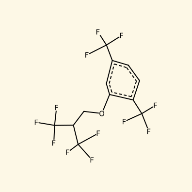 FC(F)(F)c1ccc(C(F)(F)F)c(OCC(C(F)(F)F)C(F)(F)F)c1